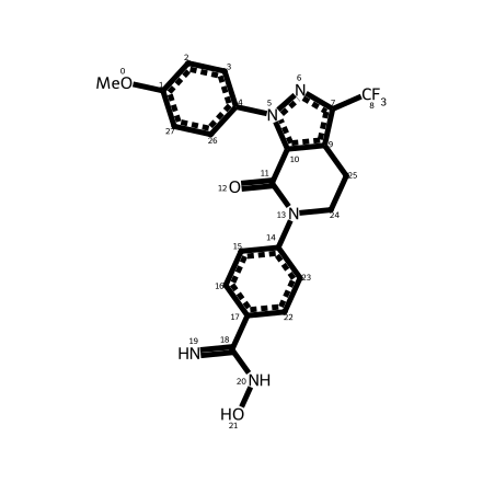 COc1ccc(-n2nc(C(F)(F)F)c3c2C(=O)N(c2ccc(C(=N)NO)cc2)CC3)cc1